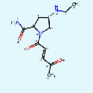 CCN[C@H]1CC(C(N)=O)N(C(=O)/C=C/C(C)=O)C1